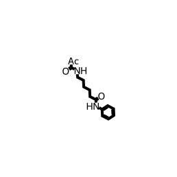 CC(=O)C(=O)NCCCCCC(=O)Nc1ccccc1